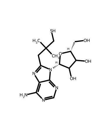 CC(C)(CS)Cc1nc2c(N)ncnc2n1[C@@H]1O[C@H](CO)C(O)C1O